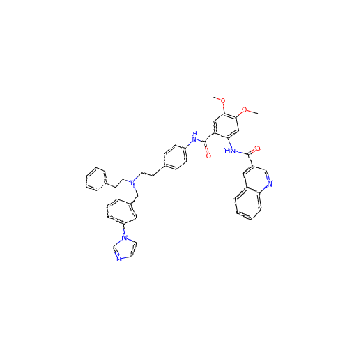 COc1cc(NC(=O)c2cnc3ccccc3c2)c(C(=O)Nc2ccc(CCN(CCc3ccccc3)Cc3cccc(-n4ccnc4)c3)cc2)cc1OC